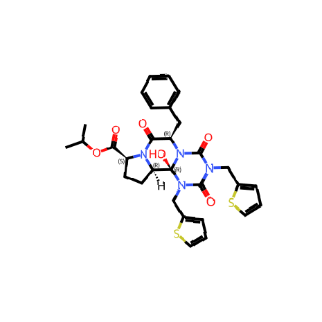 CC(C)OC(=O)[C@@H]1CC[C@H]2N1C(=O)[C@@H](Cc1ccccc1)N1C(=O)N(Cc3cccs3)C(=O)N(Cc3cccs3)[C@]21O